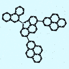 c1ccc2c(c1)cc(-n1c3ccc(-c4cc5ccc6cccc7ccc(c4)c5c67)c4ccc5c(-c6cc7ccc8cccc9ccc(c6)c7c89)ccc1c5c43)c1ccccc12